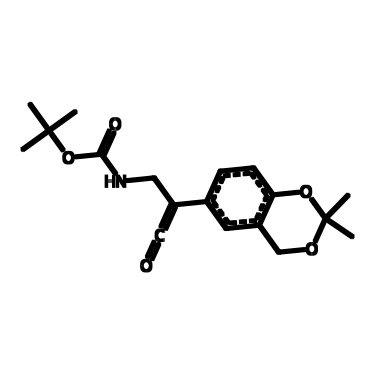 CC(C)(C)OC(=O)NCC(=C=O)c1ccc2c(c1)COC(C)(C)O2